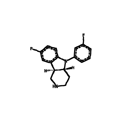 Fc1cccc(N2c3ccc(F)cc3[C@@H]3CNCC[C@H]32)c1